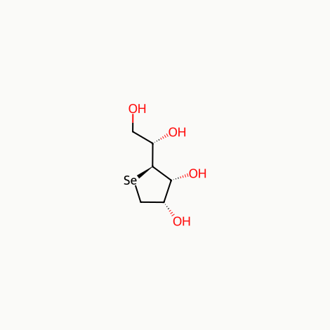 OC[C@H](O)[C@@H]1[Se]C[C@@H](O)[C@H]1O